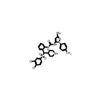 Cc1ccc(-n2nc(C(C)(C)C)cc2NC(=O)Nc2ccccc2C(C2CCNCC2)S(=O)(=O)c2ccc(Cl)c(Cl)c2)cc1